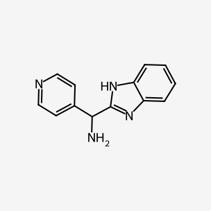 NC(c1ccncc1)c1nc2ccccc2[nH]1